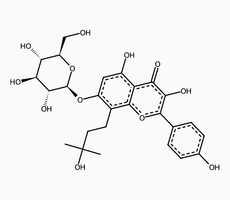 CC(C)(O)CCc1c(O[C@@H]2O[C@H](CO)[C@@H](O)[C@H](O)[C@H]2O)cc(O)c2c(=O)c(O)c(-c3ccc(O)cc3)oc12